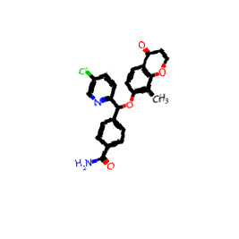 Cc1c(OC(c2ccc(C(N)=O)cc2)c2ccc(Cl)cn2)ccc2c1OCCC2=O